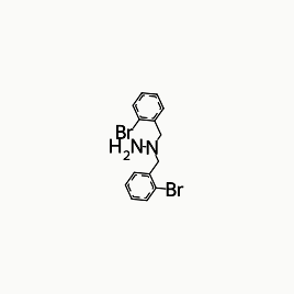 NN(Cc1ccccc1Br)Cc1ccccc1Br